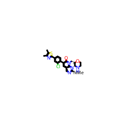 CNc1ncc2cc(-c3ccc(-c4nc(C)c(C)s4)cc3Cl)c(=O)n(C[C@H]3CNCCO3)c2n1